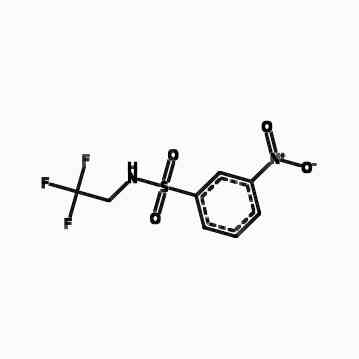 O=[N+]([O-])c1cccc(S(=O)(=O)NCC(F)(F)F)c1